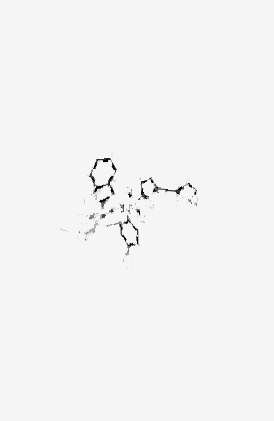 NN(c1cc(Cl)ccc1NS(=O)(=O)c1ccc(-c2ccno2)s1)S(=O)(=O)c1cc2ccccc2o1